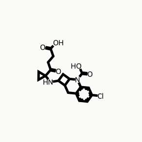 O=C(O)CCC(=O)C1(NC2CC3C2Cc2ccc(Cl)cc2N3C(=O)O)CC1